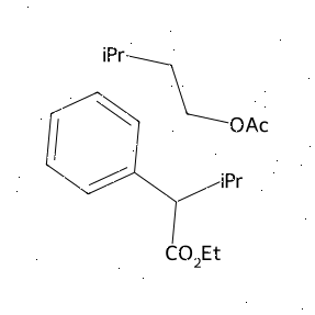 CC(=O)OCCC(C)C.CCOC(=O)C(c1ccccc1)C(C)C